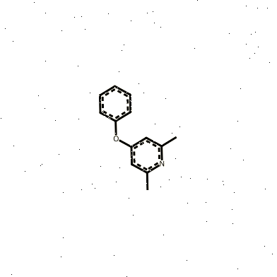 Cc1cc(Oc2ccccc2)cc(C)n1